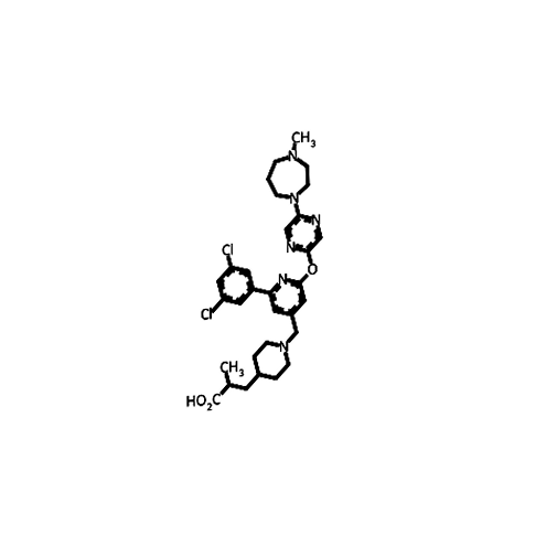 CC(CC1CCN(Cc2cc(Oc3cnc(N4CCCN(C)CC4)cn3)nc(-c3cc(Cl)cc(Cl)c3)c2)CC1)C(=O)O